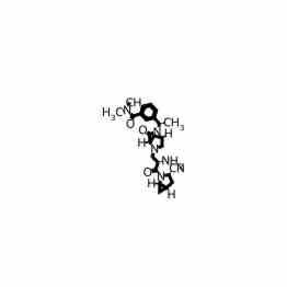 C[C@@H](c1cccc(C(=O)N(C)C)c1)N1C(=O)[C@@H]2C[C@H]1CN2C[C@H](N)C(=O)N1[C@H](C#N)C[C@@H]2C[C@@H]21